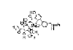 CCCNCc1ccc(OC)c(-c2ccc(O)c3c2C[C@@H]2C[C@@H]4C(N(C)C)C(O)=C(C(N)=O)C(=O)[C@]4(O)C(O)=C2C3=O)c1